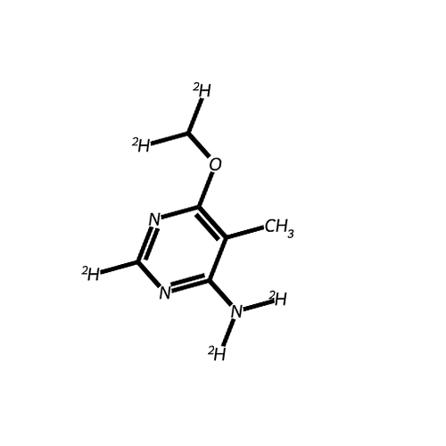 [2H]c1nc(OC([2H])[2H])c(C)c(N([2H])[2H])n1